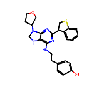 Oc1ccc(CCNc2nc(C3CSc4ccccc43)nc3c2NCN3[C@H]2CCOC2)cc1